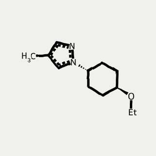 CCO[C@H]1CC[C@H](n2cc(C)cn2)CC1